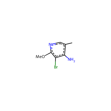 COc1ncc(C)c(N)c1Br